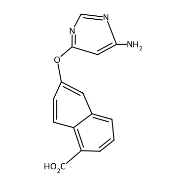 Nc1cc(Oc2ccc3c(C(=O)O)cccc3c2)ncn1